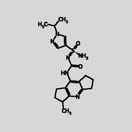 CC1CCc2c1nc1c(c2NC(=O)N=[S@](N)(=O)c2cnn(C(C)C)c2)CCC1